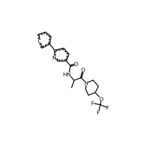 CC(NC(=O)c1ccc(-c2ccccc2)nc1)C(=O)N1CCC(OC(F)(F)F)CC1